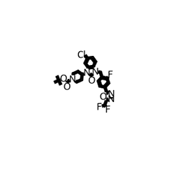 CC(C)(C)OC(=O)N1CCC(n2c(=O)n(Cc3ccc(-c4nnc(C(F)F)o4)cc3F)c3ccc(Cl)cc32)CC1